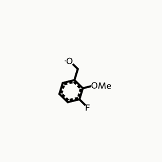 COc1c(F)cccc1C[O]